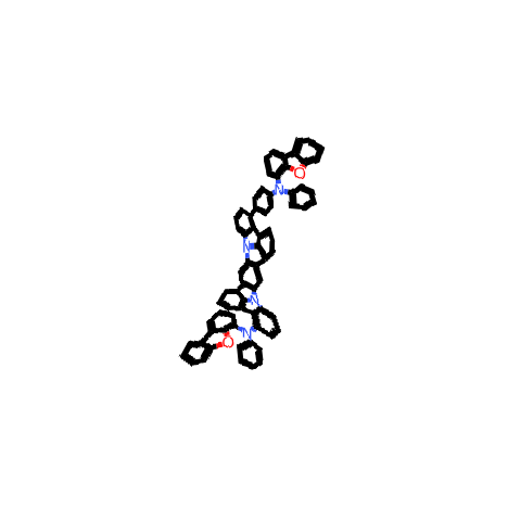 c1ccc(N(c2ccc(-c3cccc4c3c3cccc5c6cc7c(cc6n4c53)c3cccc4c5c(N(c6ccccc6)c6cccc8c6oc6ccccc68)cccc5n7c34)cc2)c2cccc3c2oc2ccccc23)cc1